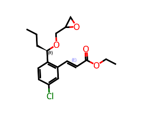 CCC[C@@H](OCC1CO1)c1ccc(Cl)cc1/C=C/C(=O)OCC